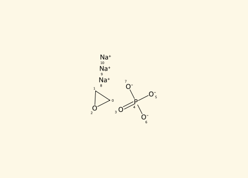 C1CO1.O=P([O-])([O-])[O-].[Na+].[Na+].[Na+]